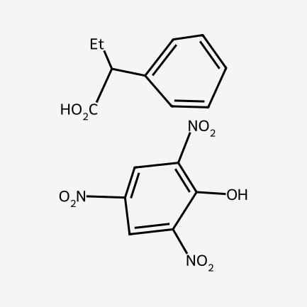 CCC(C(=O)O)c1ccccc1.O=[N+]([O-])c1cc([N+](=O)[O-])c(O)c([N+](=O)[O-])c1